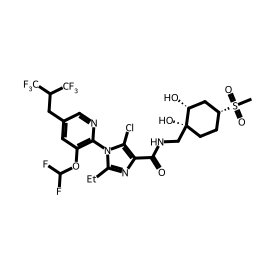 CCc1nc(C(=O)NC[C@]2(O)CC[C@@H](S(C)(=O)=O)C[C@H]2O)c(Cl)n1-c1ncc(CC(C(F)(F)F)C(F)(F)F)cc1OC(F)F